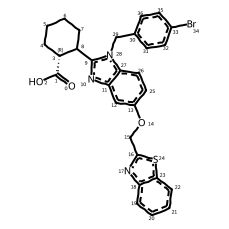 O=C(O)[C@@H]1CCCCC1c1nc2cc(OCc3nc4ccccc4s3)ccc2n1Cc1ccc(Br)cc1